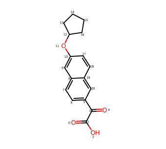 O=C(O)C(=O)c1ccc2cc(OC3CCCC3)ccc2c1